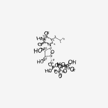 CCCc1cn([C@@H]2O[C@H](COP(=O)(O)OP(=O)(O)OP(=O)(O)O)[C@@H](O)[C@@H]2O)c(=O)[nH]c1=O